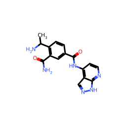 CC(N)c1ccc(C(=O)Nc2ccnc3[nH]ncc23)cc1C(N)=O